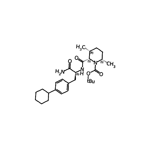 C[C@@H]1CC[C@H](C)N(C(=O)OC(C)(C)C)[C@@H]1C(=O)N[C@@H](Cc1ccc(C2CCCCC2)cc1)C(N)=O